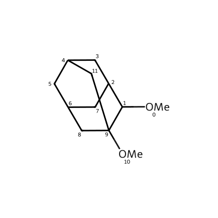 COC1C2CC3CC(C2)CC1(OC)C3